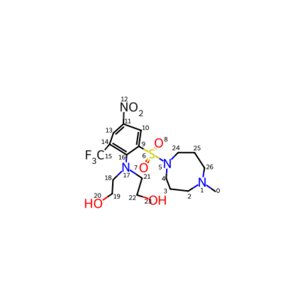 CN1CCCN(S(=O)(=O)c2cc([N+](=O)[O-])cc(C(F)(F)F)c2N(CCO)CCO)CCC1